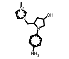 C[n+]1ccn(CC2CC(O)CN2c2ccc(N)cc2)c1